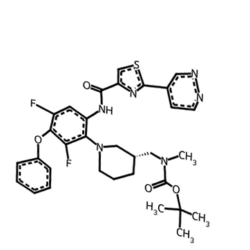 CN(C[C@@H]1CCCN(c2c(NC(=O)c3csc(-c4ccnnc4)n3)cc(F)c(Oc3ccccc3)c2F)C1)C(=O)OC(C)(C)C